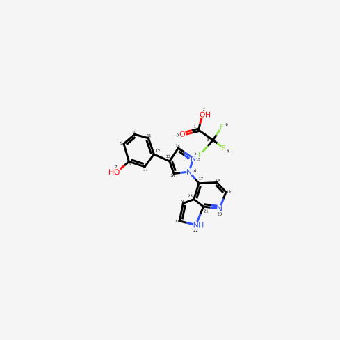 O=C(O)C(F)(F)F.Oc1cccc(-c2cnn(-c3ccnc4[nH]ccc34)c2)c1